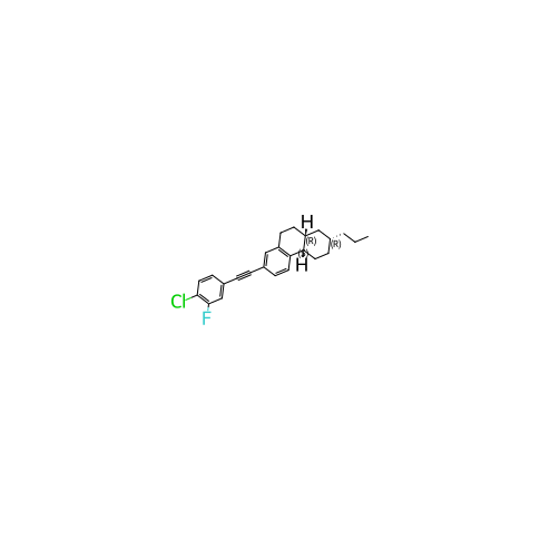 CCC[C@@H]1CC[C@@H]2c3ccc(C#Cc4ccc(Cl)c(F)c4)cc3CC[C@@H]2C1